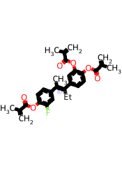 C=C(C)C(=O)Oc1ccc(/C(C)=C(\CC)c2ccc(OC(=O)C(=C)C)c(OC(=O)C(=C)C)c2)cc1F